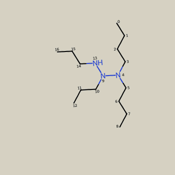 CCCCN(CCCC)N(CCC)NCCC